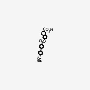 CC[C@H](C)COc1ccc(-c2ccc(C(=O)Oc3ccc4c(c3)CCC(C(=O)O)C4)cc2)cc1